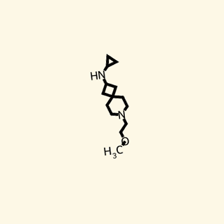 COCCN1CCC2(CC1)CC(NC1CC1)C2